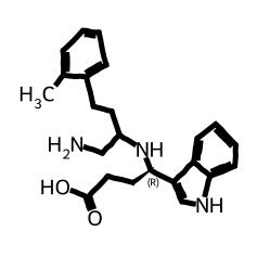 Cc1ccccc1CCC(CN)N[C@H](CCC(=O)O)c1c[nH]c2ccccc12